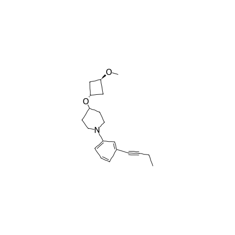 CCC#Cc1cccc(N2CCC(O[C@H]3C[C@H](OC)C3)CC2)c1